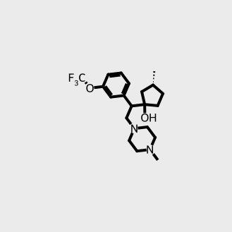 C[C@@H]1CCC(O)(C(CN2CCN(C)CC2)c2cccc(OC(F)(F)F)c2)C1